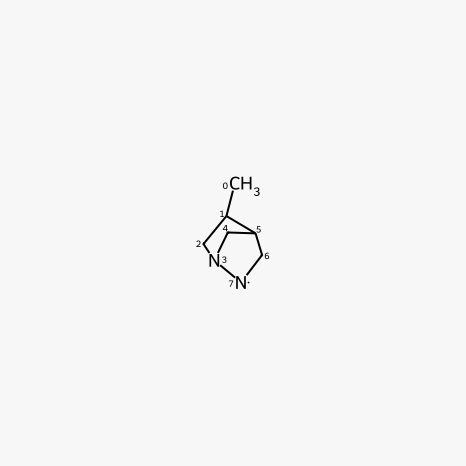 CC1CN2CC1C[N]2